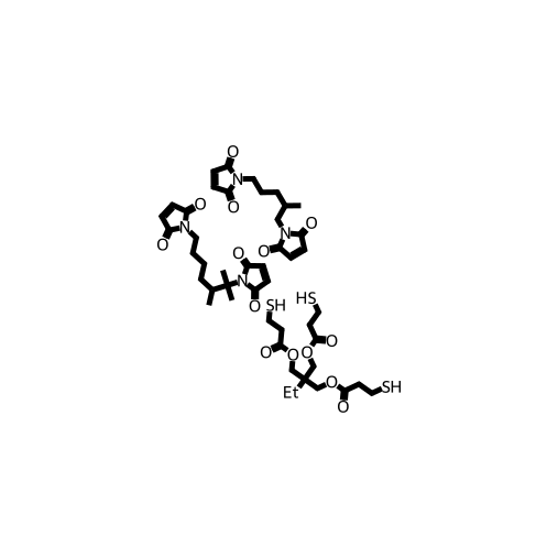 CC(CCCCN1C(=O)C=CC1=O)C(C)(C)N1C(=O)C=CC1=O.CC(CCCN1C(=O)C=CC1=O)CN1C(=O)C=CC1=O.CCC(COC(=O)CCS)(COC(=O)CCS)COC(=O)CCS